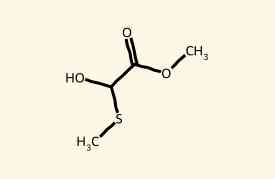 COC(=O)C(O)SC